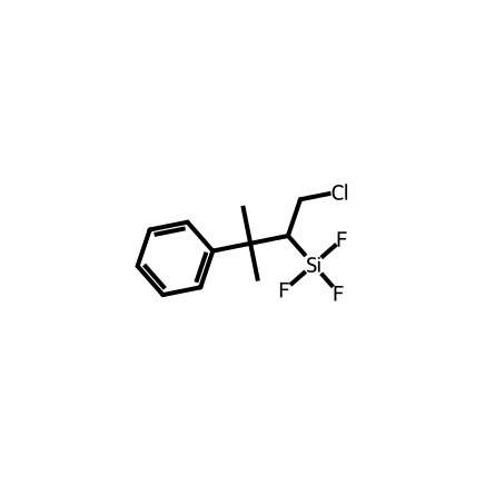 CC(C)(c1ccccc1)C(CCl)[Si](F)(F)F